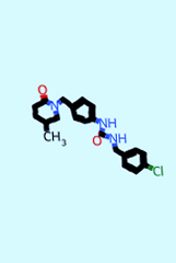 CC1CCC(=O)N(Cc2ccc(NC(=O)NCc3ccc(Cl)cc3)cc2)C1